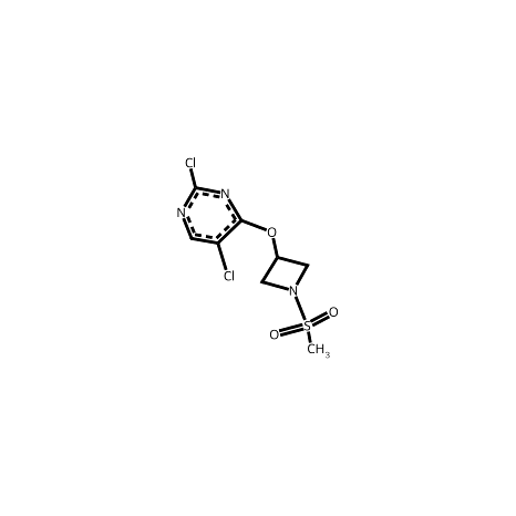 CS(=O)(=O)N1CC(Oc2nc(Cl)ncc2Cl)C1